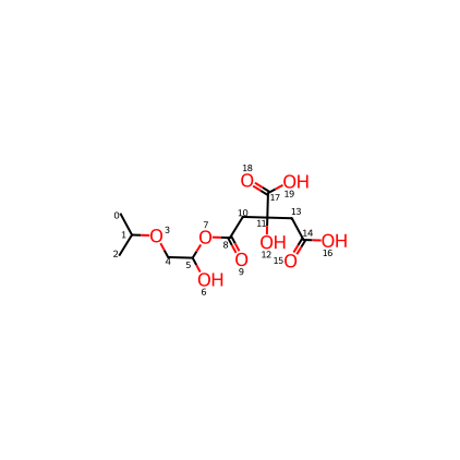 CC(C)OCC(O)OC(=O)CC(O)(CC(=O)O)C(=O)O